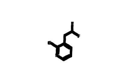 FC(F)Cc1cc[c]nc1Cl